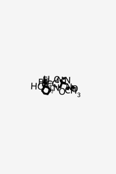 CN(C[C@@H]1CCCC(O)(C(F)(F)F)C1)C(=O)c1c(N(C)C=O)ncn1C